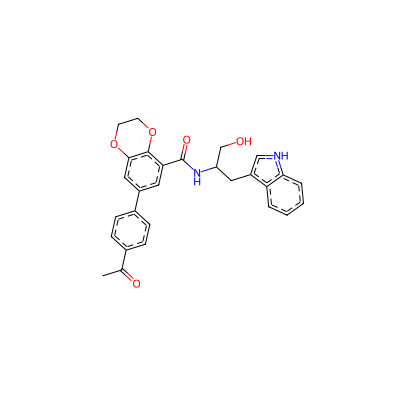 CC(=O)c1ccc(-c2cc3c(c(C(=O)NC(CO)Cc4c[nH]c5ccccc45)c2)OCCO3)cc1